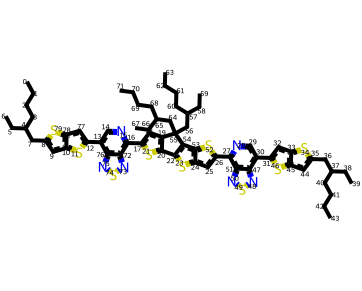 CCCCC(CC)Cc1cc2sc(-c3cnc(-c4cc5c(s4)-c4sc6cc(-c7ncc(-c8cc9sc(CC(CC)CCCC)cc9s8)c8nsnc78)sc6c4C5(CC(CC)CCCC)CC(CC)CCCC)c4nsnc34)cc2s1